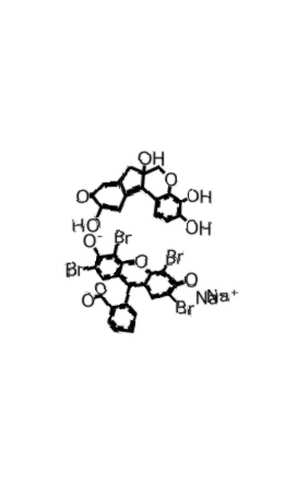 O=C([O-])c1ccccc1-c1c2cc(Br)c(=O)c(Br)c-2oc2c(Br)c([O-])c(Br)cc12.O=C1C=C2CC3(O)COc4c(ccc(O)c4O)C3=C2C=C1O.[Na+].[Na+]